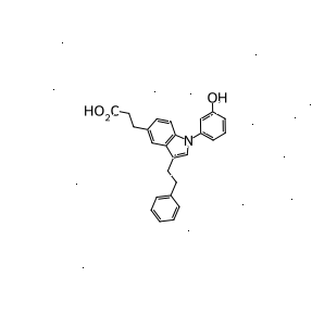 O=C(O)CCc1ccc2c(c1)c(CCc1ccccc1)cn2-c1cccc(O)c1